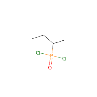 CCC(C)P(=O)(Cl)Cl